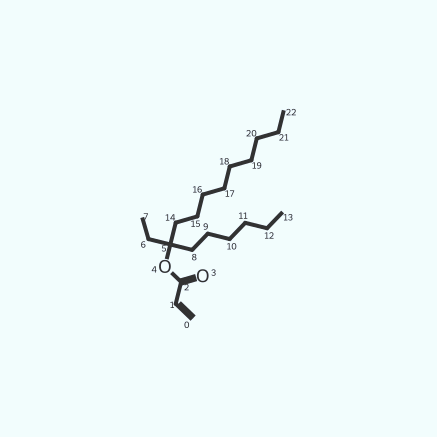 C=CC(=O)OC(CC)(CCCCCC)CCCCCCCCC